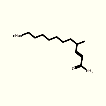 CCCCCCCCCCCCCCCCC(C)C=CC(N)=O